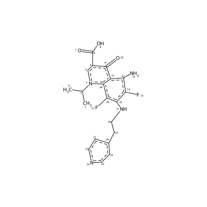 CC(C)n1cc(C(=O)O)c(=O)c2c(N)c(F)c(NCCc3ccncc3)c(F)c21